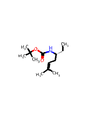 CC[C@H](CC=C(C)C)NC(=O)OC(C)(C)C